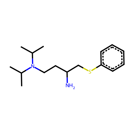 CC(C)N(CCC(N)CSc1ccccc1)C(C)C